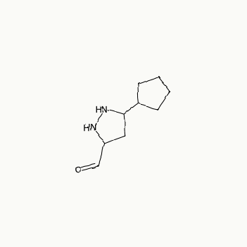 O=CC1CC(C2CCCC2)NN1